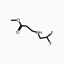 COC(=O)CCNCC(F)F